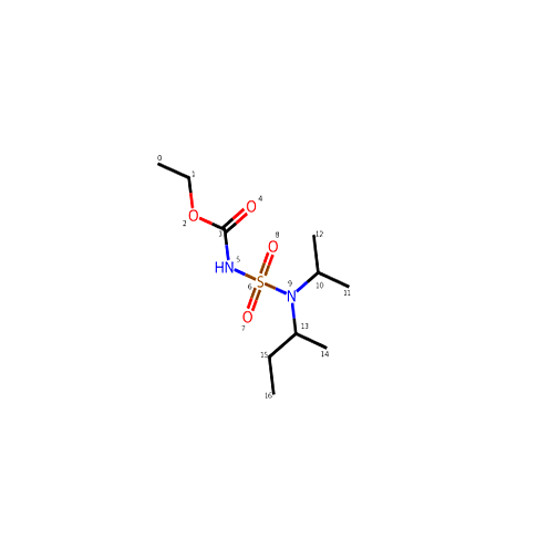 CCOC(=O)NS(=O)(=O)N(C(C)C)C(C)CC